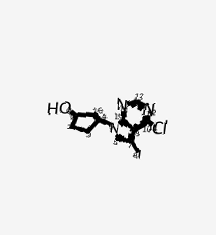 OC1CCC(n2cc(I)c3c(Cl)ncnc32)C1